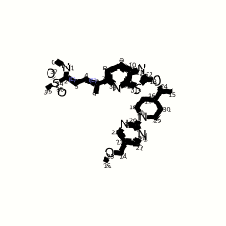 C=N/C(=C\C=C(/C)c1ccc2nc(OC(C)C3CCN(c4ncc(COC)cn4)CC3)sc2n1)S(C)(=O)=O